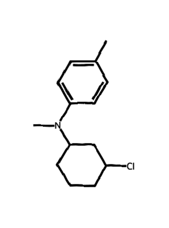 Cc1ccc(N(C)C2CCCC(Cl)C2)cc1